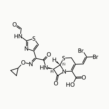 O=CNc1nc(C(=NOC2CC2)C(=O)N[C@@H]2C(=O)N3C(C(=O)O)=C(C=C(Br)Br)CS[C@@H]23)cs1